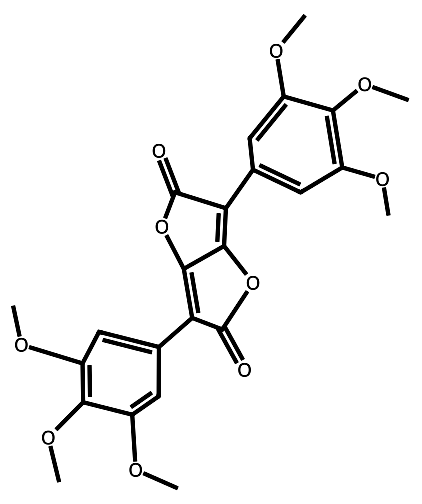 COc1cc(C2=C3OC(=O)C(c4cc(OC)c(OC)c(OC)c4)=C3OC2=O)cc(OC)c1OC